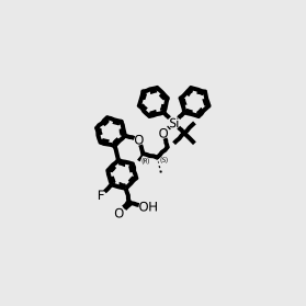 C[C@@H](CO[Si](c1ccccc1)(c1ccccc1)C(C)(C)C)[C@@H](C)Oc1ccccc1-c1ccc(C(=O)O)c(F)c1